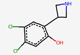 Oc1cc(Cl)c(Cl)cc1C1CNC1